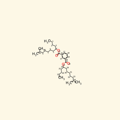 CCCCC(CCCCCC(C)C)OC(=O)c1cccc(C(=O)OC(CCCC)CCCCCC(C)C)c1